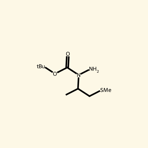 CSCC(C)N(N)C(=O)OC(C)(C)C